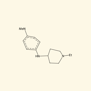 CCN1CCC(Nc2ccc(NC)cc2)CC1